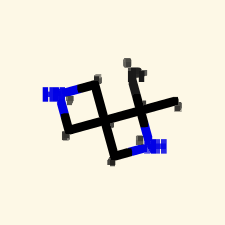 CC(C)C1(C)NCC12CNC2